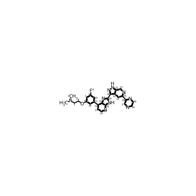 CN(C)CCOc1cc(F)cc(-c2ccnc3[nH]c(-c4n[nH]c5cnc(-c6cnccn6)cc45)nc23)c1